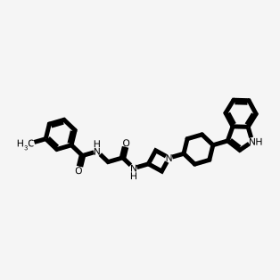 Cc1cccc(C(=O)NCC(=O)NC2CN(C3CCC(c4c[nH]c5ccccc45)CC3)C2)c1